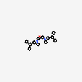 c1ccc(-c2cc(-c3ccccc3)cc(-c3ccc4c(c3)c3ccccc3n4-c3ccc4oc5ccc(-n6c7ccccc7c7cc(-c8cc(-c9ccccc9)cc(-c9ccccc9)c8)ccc76)cc5c4c3)c2)cc1